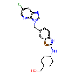 OC[C@H]1CC[C@H](Nc2nc3ccc(Cn4cnc5cc(F)cnc54)cc3s2)CC1